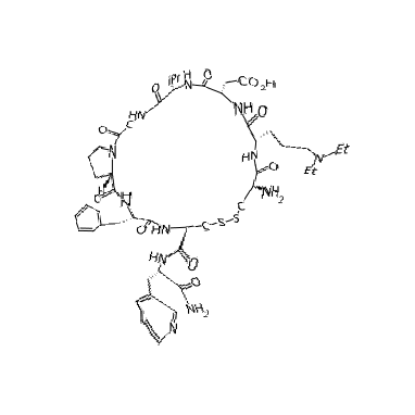 CCN(CC)CCC[C@@H]1NC(=O)[C@@H](N)CSSC[C@@H](C(=O)N[C@@H](Cc2cccnc2)C(N)=O)NC(=O)[C@H](Cc2ccccc2)NC(=O)[C@@H]2CCCN2C(=O)CNC(=O)[C@H](C(C)C)NC(=O)[C@H](CC(=O)O)NC1=O